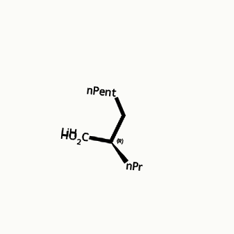 CCCCCC[C@@H](CCC)C(=O)O.[LiH]